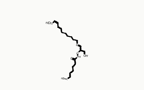 CCCCCCCC/C=C\CCCCCCCCOCC(CO)OPC(=O)CCCCCCCCCCCCCCC